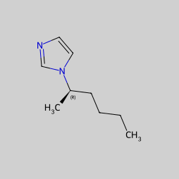 CCCC[C@@H](C)n1ccnc1